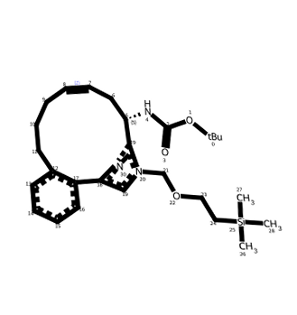 CC(C)(C)OC(=O)N[C@H]1C/C=C\CCCc2ccccc2-c2cn(COCC[Si](C)(C)C)c1n2